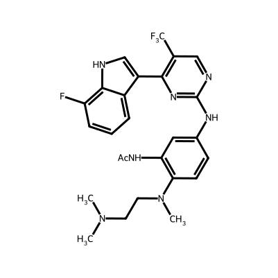 CC(=O)Nc1cc(Nc2ncc(C(F)(F)F)c(-c3c[nH]c4c(F)cccc34)n2)ccc1N(C)CCN(C)C